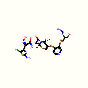 N=CNC(CO)CSc1cnccc1SC1=C(C(=O)O)N2C(=O)[C@@H](NC(=O)/C(=N\O)c3nc(N)sc3Cl)[C@@H]2SC1